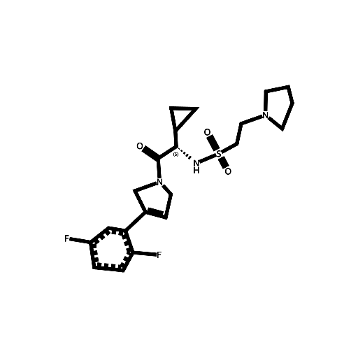 O=C([C@@H](NS(=O)(=O)CCN1CCCC1)C1CC1)N1CC=C(c2cc(F)ccc2F)C1